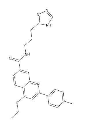 CCOc1cc(-c2ccc(C)cc2)nc2cc(C(=O)NCCCc3nnc[nH]3)ccc12